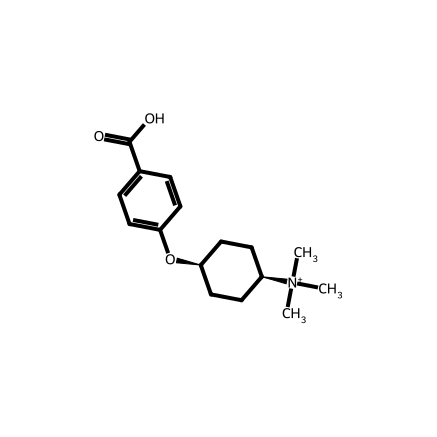 C[N+](C)(C)[C@H]1CC[C@@H](Oc2ccc(C(=O)O)cc2)CC1